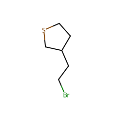 BrCCC1CCSC1